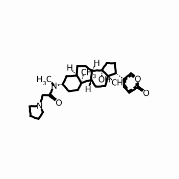 CN(C(=O)CN1CCCC1)[C@H]1CC[C@@]2(C)[C@H](CC[C@@H]3[C@@H]2CC[C@]2(C)[C@@H](c4ccc(=O)oc4)CC[C@]32O)C1